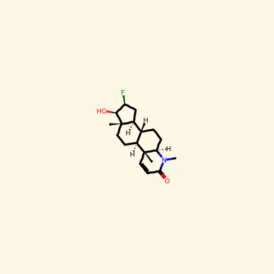 CN1C(=O)C=C[C@]2(C)[C@H]3CC[C@]4(C)[C@@H](O)[C@@H](F)C[C@H]4[C@@H]3CC[C@@H]12